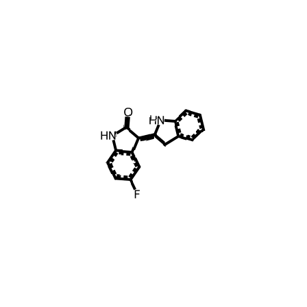 O=C1Nc2ccc(F)cc2/C1=C1\Cc2ccccc2N1